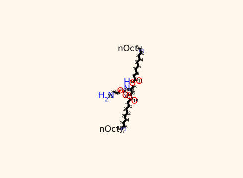 CCCCCCCC/C=C\CCCCCCCC(=O)OCC(COC(=O)CCCCCCC/C=C\CCCCCCCC)NC(=O)OCCN